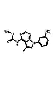 CC(C)(C)OC(=O)Nc1ncnc2c1c(I)cn2-c1cccc([N+](=O)[O-])c1